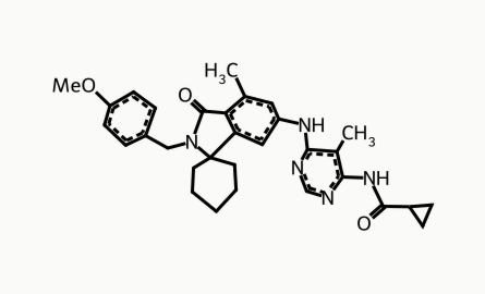 COc1ccc(CN2C(=O)c3c(C)cc(Nc4ncnc(NC(=O)C5CC5)c4C)cc3C23CCCCC3)cc1